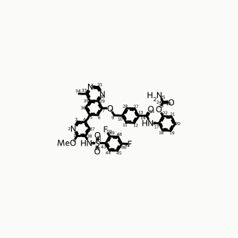 COc1ncc(-c2cc(OCc3ccc(C(=O)Nc4ccccc4OC(N)=O)cc3)c3ncnc(C)c3c2)cc1NS(=O)(=O)c1ccc(F)cc1F